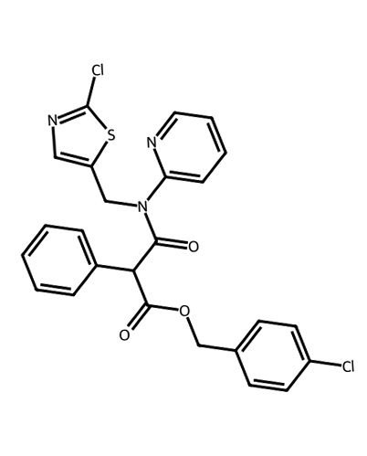 O=C(OCc1ccc(Cl)cc1)C(C(=O)N(Cc1cnc(Cl)s1)c1ccccn1)c1ccccc1